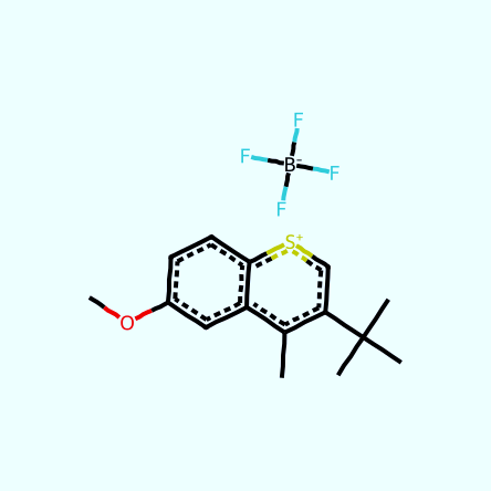 COc1ccc2[s+]cc(C(C)(C)C)c(C)c2c1.F[B-](F)(F)F